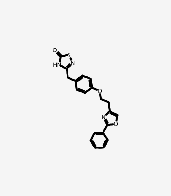 O=c1[nH]c(Cc2ccc(OCCc3coc(-c4ccccc4)n3)cc2)ns1